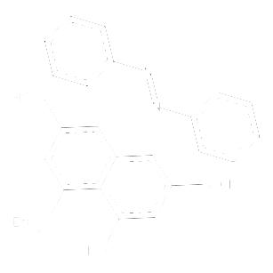 CCOC(=O)c1cc(S(=O)(=O)O)cc2cc(S(=O)(=O)O)cc(O)c12.c1ccc(N=Nc2ccccc2)cc1